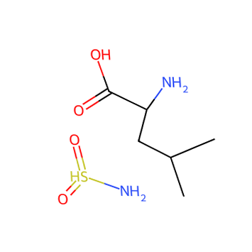 CC(C)CC(N)C(=O)O.N[SH](=O)=O